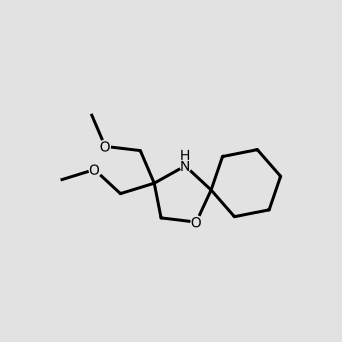 COCC1(COC)COC2(CCCCC2)N1